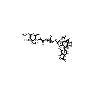 CC1O[C@H](CO)[C@@H](O)[C@H](O)[C@H]1NCC(=O)NCC(=O)NCC(=O)O[C@@H]1[C@@]2(C(C)C)C[C@H]2[C@@H]2O[C@@]23[C@@]2(C)CCC4=C(COC4=O)C2CO[C@]13C